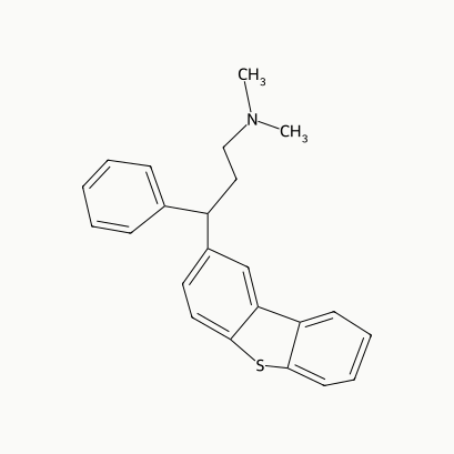 CN(C)CCC(c1ccccc1)c1ccc2sc3ccccc3c2c1